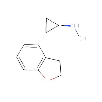 CN[C@@H]1C[C@H]1c1cccc2c1CCO2